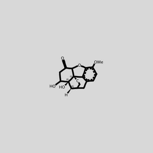 COc1ccc2c3c1OC1C(=O)CC(O)[C@@]4(O)[C@H](CCC[C@]314)C2